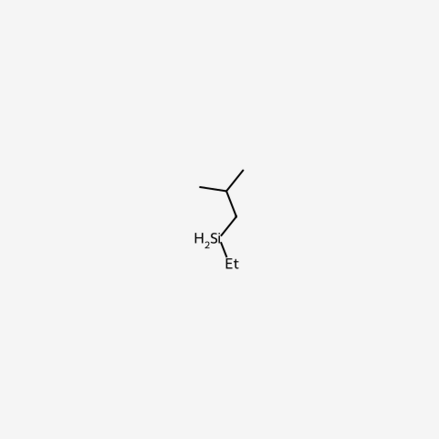 CC[SiH2]CC(C)C